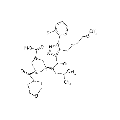 COCCOCc1c(C(=O)N(CC(C)C)[C@H]2C[C@@H](C(=O)N3CCOCC3)CN(C(=O)O)C2)nnn1-c1ccccc1F